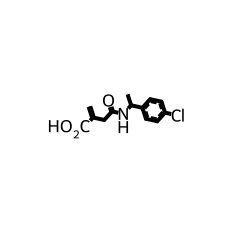 C=C(CC(=O)NC(C)c1ccc(Cl)cc1)C(=O)O